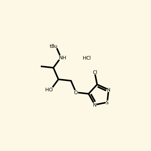 CC(NC(C)(C)C)C(O)COc1nsnc1Cl.Cl